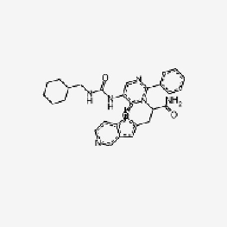 NC(=O)C(Cc1cc2cnccc2[nH]1)n1c(-c2ccccc2)ncc(NC(=O)NCC2CCCCC2)c1=O